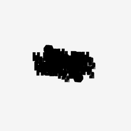 Bc1c(B)c(B)c(N(c2ccc(-c3ccc(N(c4c(B)c(B)c(-c5ccccc5)c(B)c4O)c4c(B)c(O)c(O)c(B)c4O)cc3)cc2)c2c(B)c(B)c(-c3ccccc3)c(B)c2B)c(B)c1B